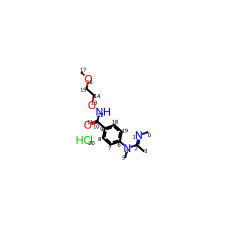 CN=C(C)N(C)c1ccc(C(=O)NOCCOC)cc1.Cl